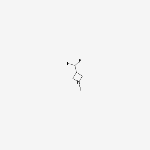 FC(F)C1CN(I)C1